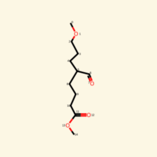 COCCCC(C=O)CCCC(=O)OC